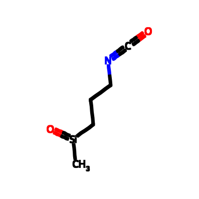 C[Si](=O)CCCN=C=O